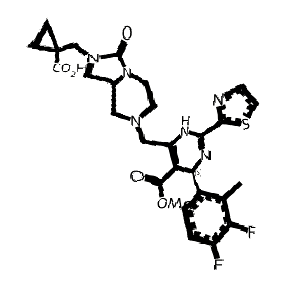 COC(=O)C1=C(CN2CCN3C(=O)N(CC4(C(=O)O)CC4)CC3C2)NC(c2nccs2)=N[C@H]1c1ccc(F)c(F)c1C